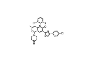 CCc1cccc(F)c1-n1c(C=C(C)C)c(C(=O)N2CCNCC2)cc(-c2nc(-c3ccc(Cl)cc3)cs2)c1=O